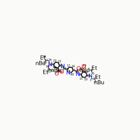 CCCCC(CC)CN(CC(CC)CCCC)c1ccc2nc(-c3ccc(-c4nc5ccc(N(CC(CC)CCCC)CC(CC)CCCC)cc5c(=O)o4)nc3)oc(=O)c2c1